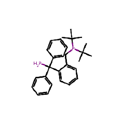 CC(C)(C)P(Cc1ccccc1C(P)(c1ccccc1)c1ccccc1)C(C)(C)C